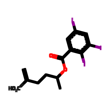 C=C(CCC(C)OC(=O)c1cc(I)cc(I)c1I)C(=O)O